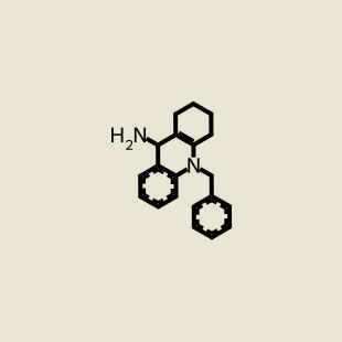 NC1C2=C(CCCC2)N(Cc2ccccc2)c2ccccc21